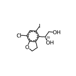 OC[C@@H](O)c1c(I)cc(Cl)c2c1CCO2